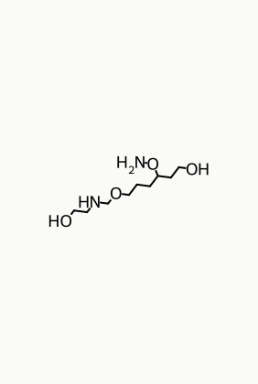 NOC(CCO)CCCOCNCCO